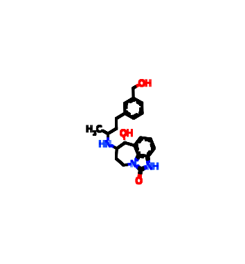 CC(CCc1cccc(CO)c1)N[C@@H]1CCn2c(=O)[nH]c3cccc(c32)[C@H]1O